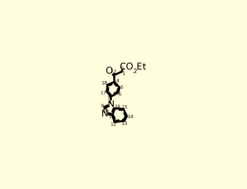 CCOC(=O)CC(=O)c1ccc(-n2cnc3ccccc32)cc1